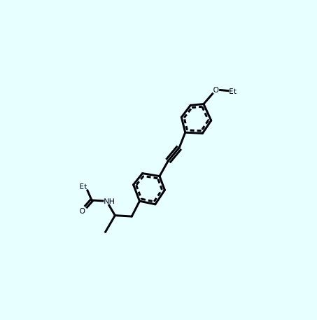 CCOc1ccc(C#Cc2ccc(CC(C)NC(=O)CC)cc2)cc1